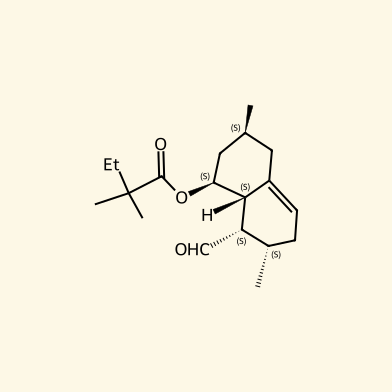 CCC(C)(C)C(=O)O[C@H]1C[C@@H](C)CC2=CC[C@H](C)[C@H](C=O)[C@@H]21